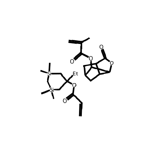 C=C(C)C(=O)OC1C2CC3C(=O)OC1C3C2.C=CC(=O)OC1(CC)C[Si](C)(C)C[Si](C)(C)C1